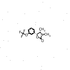 C[C@H]1[C@@H](c2cccc(OC(F)(F)F)c2)OC(=O)N1C